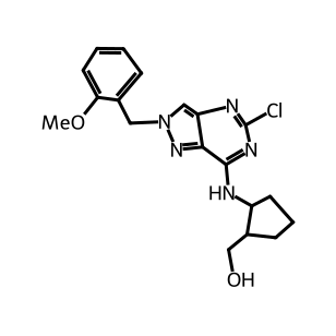 COc1ccccc1Cn1cc2nc(Cl)nc(NC3CCCC3CO)c2n1